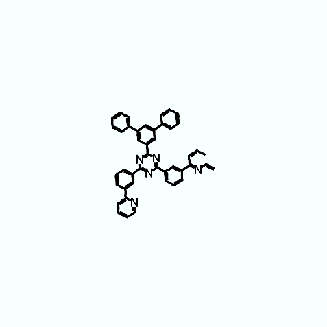 C=C/N=C(\C=C/C)c1cccc(-c2nc(-c3cc(-c4ccccc4)cc(-c4ccccc4)c3)nc(-c3cccc(-c4ccccn4)c3)n2)c1